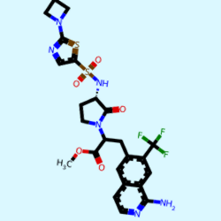 COC(=O)C(Cc1cc2ccnc(N)c2cc1C(F)(F)F)N1CC[C@H](NS(=O)(=O)c2cnc(N3CCC3)s2)C1=O